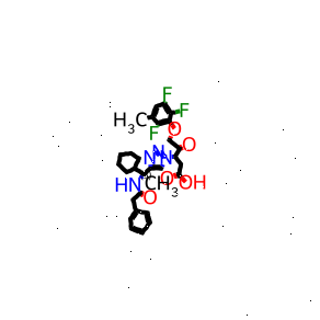 Cc1cc(F)c(F)c(OCC(=O)C(CC(=O)O)n2cc([C@@](C)(NC(=O)Cc3ccccc3)C3CCCCC3)nn2)c1F